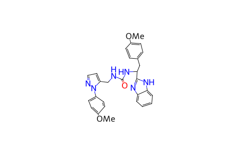 COc1ccc(CC(NC(=O)NCc2ccnn2-c2ccc(OC)cc2)c2nc3ccccc3[nH]2)cc1